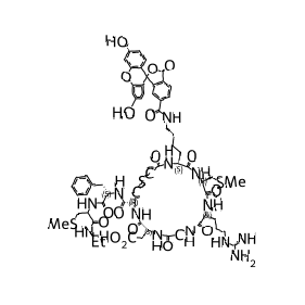 CCNC(=O)C(CSC)NC(=O)[C@H](Cc1ccccc1)NC(=O)[C@@H]1CSCC(=O)N[C@@H](CCCCNC(=O)c2ccc3c(c2)C2(OC3=O)c3ccc(O)cc3Oc3cc(O)ccc32)C(=O)N[C@@H](CSC)C(=O)N[C@@H](CCCNC(=N)N)C(=O)NCC(=O)N[C@@H](CC(=O)O)C(=O)N1